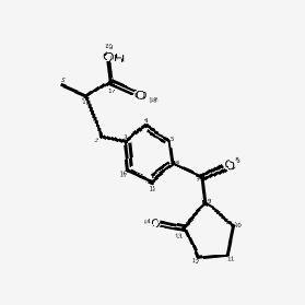 CC(Cc1ccc(C(=O)C2CCCC2=O)cc1)C(=O)O